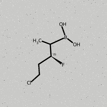 CC(B(O)O)[C@@H](F)CCCl